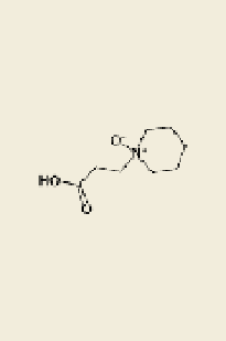 O=C(O)CC[N+]1([O-])CCCCC1